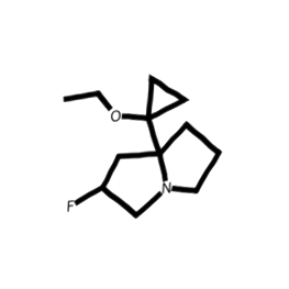 CCOC1(C23CCCN2CC(F)C3)CC1